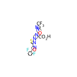 Cc1cc(C(F)(F)F)nn1CC(=O)N1CCN(c2nc(C3=NOC(c4c(F)cccc4F)C3)cs2)CC1C(=O)O